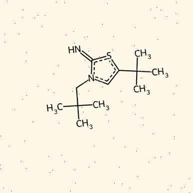 CC(C)(C)Cn1cc(C(C)(C)C)sc1=N